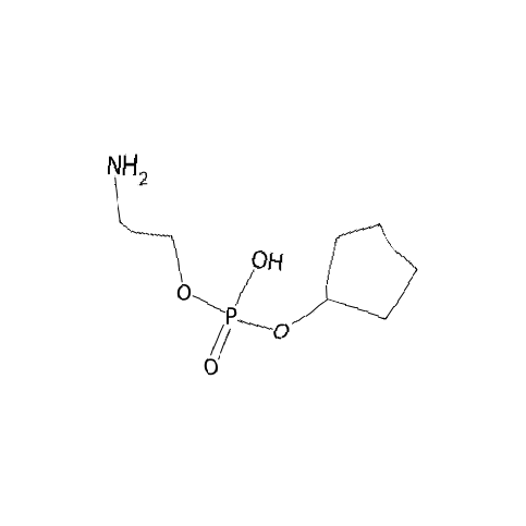 NCCOP(=O)(O)OC1CCCC1